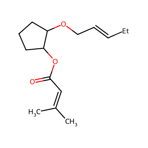 CCC=CCOC1CCCC1OC(=O)C=C(C)C